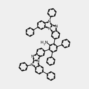 Nc1c(-c2ccc3nc4n(-c5ccccc5)c5ccc(-c6ccccc6)cc5n4c3c2)c(-c2ccccc2)cc(-c2ccccc2)c1-c1ccc2nc3n(-c4ccccc4)c4ccc(-c5ccccc5)cc4n3c2c1